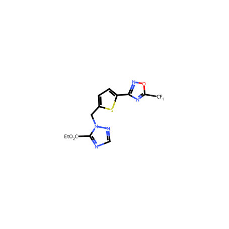 CCOC(=O)c1ncnn1Cc1ccc(-c2noc(C(F)(F)F)n2)s1